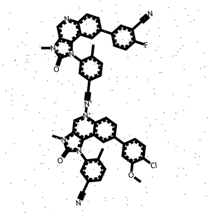 COc1cc(-c2ccc3c(c2)c2c(c[n+]3[N+]#Cc3ccc(C)c(-n4c(=O)n(C)c5cnc6ccc(-c7ccc(F)c(C#N)c7)cc6c54)c3)n(C)c(=O)n2-c2cc(C#N)ccc2C)ccc1Cl